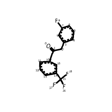 O=C(Cc1cccc(F)c1)c1cccc(C(F)(F)F)c1